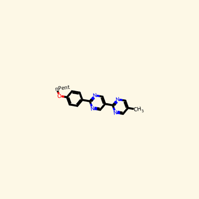 CCCCCOc1ccc(-c2ncc(-c3ncc(C)cn3)cn2)cc1